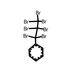 BrC(Br)(Br)C(Br)(Br)C(Br)(Br)c1[c]cccc1